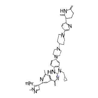 C=C1CCC(c2ccc(N3CCC(N4CCN(c5ccc6[nH]/c(=N\C(=C)c7cc(C)nc(-c8cnn(C)c8CCC)c7)n(CC7CC7)c6c5)CC4)CC3)cn2)C(=C)N1